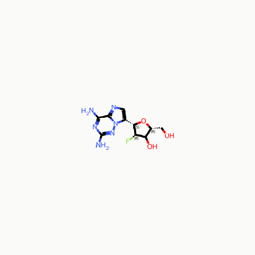 Nc1nc(N)c2ncc([C@@H]3O[C@H](CO)C(O)[C@H]3F)n2n1